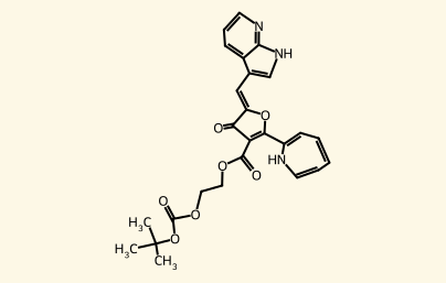 CC(C)(C)OC(=O)OCCOC(=O)C1=C(C2=CC=CC=CN2)O/C(=C\c2c[nH]c3ncccc23)C1=O